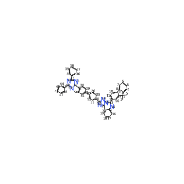 CC1(C)c2ccccc2-c2ccc(-c3nc4ccccc4c4nc(-c5ccc(-c6ccc(-c7nc(-c8ccccc8)nc(-c8ccccc8)n7)cc6)cc5)nn34)cc21